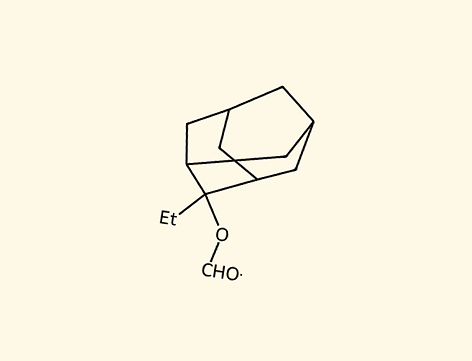 CCC1(O[C]=O)C2CC3CC(C2)CC1C3